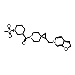 CS(=O)(=O)N1CCCC(C(=O)N2CCC3(CC2)CC3CN2C=CC3=CCOC3=C2)C1